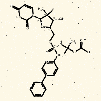 CCC(=O)OC(C)(C)N[P@](=O)(OC[C@H]1O[C@@H](n2ccc(=O)[nH]c2=O)[C@](C)(F)[C@@H]1O)Oc1ccc(-c2ccccc2)cc1